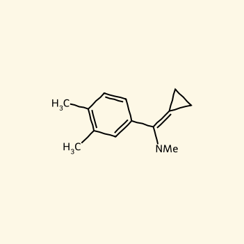 CNC(=C1CC1)c1ccc(C)c(C)c1